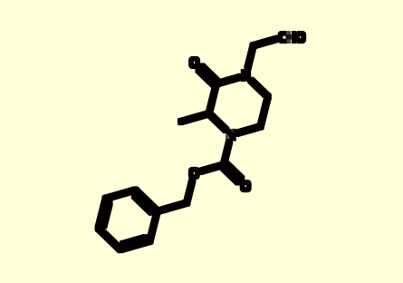 CC1C(=O)N(CC=O)CCN1C(=O)OCc1ccccc1